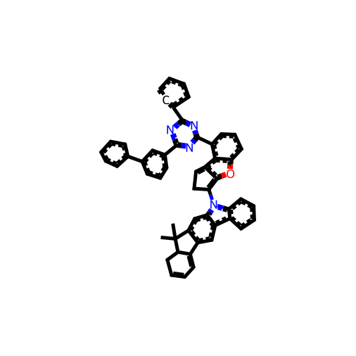 CC1(C)c2cc3c(cc2C2=CC=CCC21)c1ccccc1n3C1=c2oc3cccc(-c4nc(-c5ccccc5)nc(-c5cccc(-c6ccccc6)c5)n4)c3c2=CC1